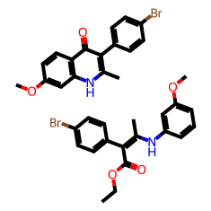 CCOC(=O)/C(=C(/C)Nc1cccc(OC)c1)c1ccc(Br)cc1.COc1ccc2c(=O)c(-c3ccc(Br)cc3)c(C)[nH]c2c1